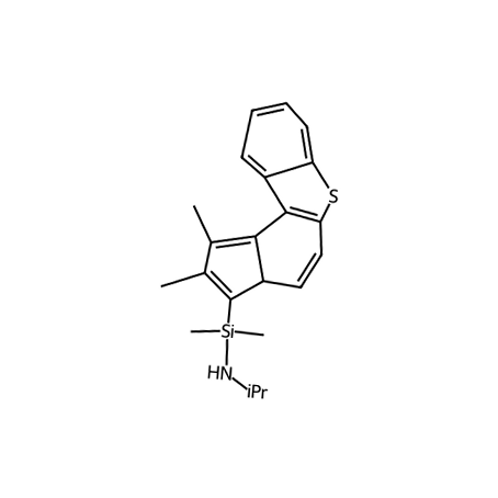 CC1=C2c3c(sc4ccccc34)C=CC2C([Si](C)(C)NC(C)C)=C1C